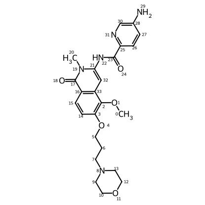 COc1c(OCCCN2CCOCC2)ccc2c(=O)n(C)c(NC(=O)c3ccc(N)cn3)cc12